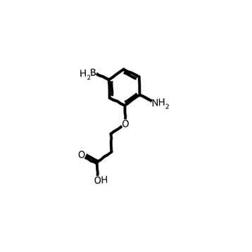 Bc1ccc(N)c(OCCC(=O)O)c1